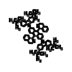 CC(C)(C)c1ccc2c(c1)c1cc(C(C)(C)C)ccc1n2-c1ccc2c(-c3nccc4ccccc34)c3cc(-n4c5ccc(C(C)(C)C)cc5c5cc(C(C)(C)C)ccc54)ccc3c(-c3nccc4ccccc34)c2c1